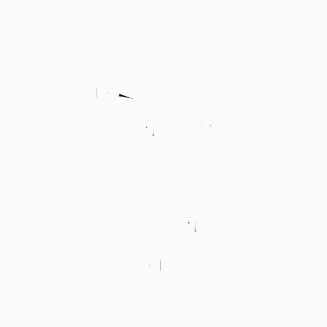 Cc1cc2c(c(Cl)n1)C(=O)N([C@@H](C)C1CC1)C2